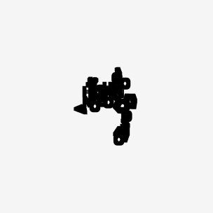 CCOC(=O)NN=C(C(=O)Nc1cc(C(C)(C)C)cc(C(=O)NC2CC2)c1OC)c1ccc(OCCN2CCOCC2)c2ccccc12